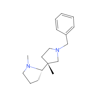 CN1CCC[C@H]1[C@]1(C)CCN(Cc2ccccc2)C1